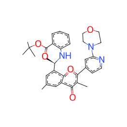 Cc1cc([C@@H](C)Nc2ccccc2C(=O)OC(C)(C)C)c2oc(-c3ccnc(N4CCOCC4)c3)c(C)c(=O)c2c1